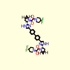 O=C(C(=O)N1[C@H](c2nc(-c3ccc(-c4ccc(-c5c[nH]c([C@@H]6C[C@@H]7C[C@@H]7N6C(=O)C(=O)N6CCC(F)(F)CC6)n5)cc4)cc3)c[nH]2)C[C@@H]2C[C@@H]21)N1CCC(F)(F)CC1